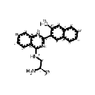 CC(C)[C@@H](N)CNc1nc(-c2cc3ccccc3cc2O)nc2ccccc12